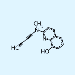 C#CC#CN(C)c1ccc2cccc(O)c2n1